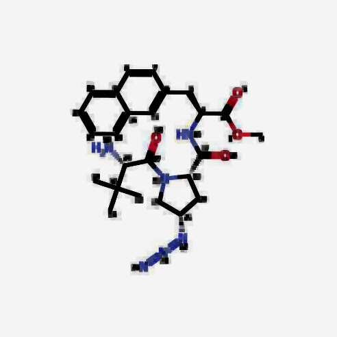 COC(=O)[C@H](Cc1ccc2ccccc2c1)NC(=O)[C@@H]1C[C@H](N=[N+]=[N-])CN1C(=O)[C@@H](N)C(C)(C)C